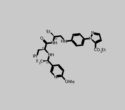 CCOC(=O)c1ccnn1-c1ccc(NC[C@H](CC)NC(=O)[C@H](CC(C)C)N[C@@H](c2ccc(OC)nc2)C(F)(F)F)cc1